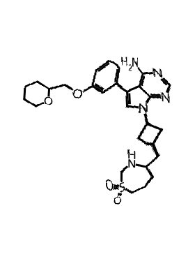 Nc1ncnc2c1c(-c1cccc(OCC3CCCCO3)c1)cn2C1CC(CC2CCCS(=O)(=O)CN2)C1